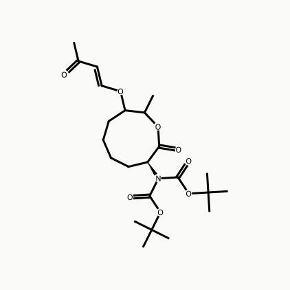 CC(=O)/C=C/OC1CCCC[C@H](N(C(=O)OC(C)(C)C)C(=O)OC(C)(C)C)C(=O)OC1C